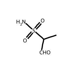 CC(C=O)S(N)(=O)=O